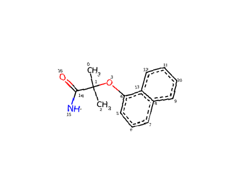 CC(C)(Oc1cccc2ccccc12)C([NH])=O